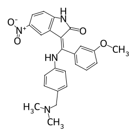 COc1cccc(C(Nc2ccc(CN(C)C)cc2)=C2C(=O)Nc3ccc([N+](=O)[O-])cc32)c1